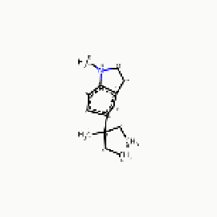 CCC(C)(CC)c1ccc2c(c1)CCN2C